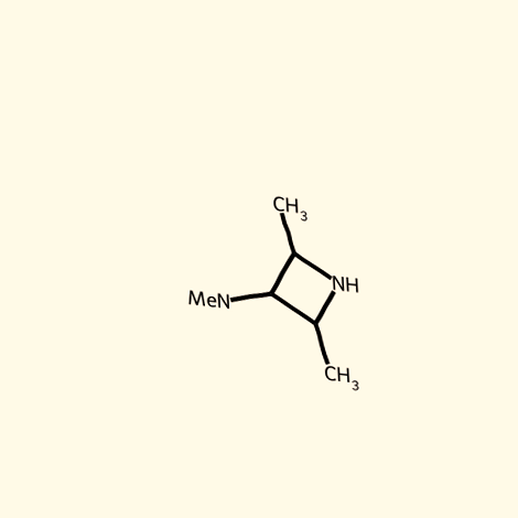 CNC1C(C)NC1C